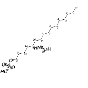 CCCCCCCCCCCCCCCCOS(=O)(=O)O.[NaH].[NaH]